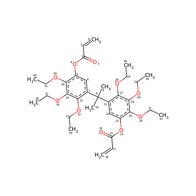 C=CC(=O)Oc1cc(C(C)(C)c2cc(OC(=O)C=C)c(OCC)c(OCC)c2OCC)c(OCC)c(OCC)c1OCC